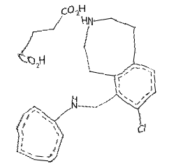 Clc1ccc2c(c1CNc1ccccc1)CCNCC2.O=C(O)CCC(=O)O